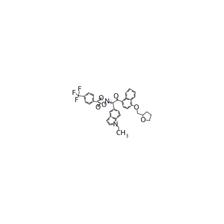 CCn1ccc2cc(/C(=N\OS(=O)(=O)c3ccc(C(F)(F)F)cc3)C(=O)c3ccc(OCC4CCCO4)c4ccccc34)ccc21